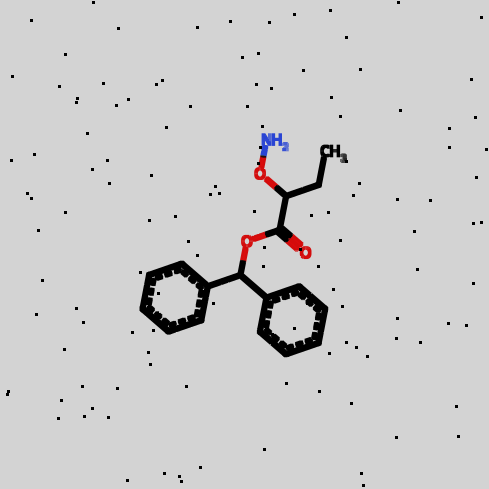 CCC(ON)C(=O)OC(c1ccccc1)c1ccccc1